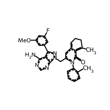 COc1cc(F)cc(-c2nn(Cc3cc4c(c(=O)n3-c3ccccc3C)=C(C)CCC=4)c3ncnc(N)c23)c1